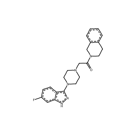 O=C(CN1CCN(c2n[nH]c3cc(F)ccc23)CC1)N1CCc2ccccc2C1